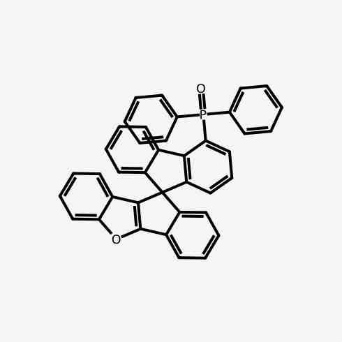 O=P(c1ccccc1)(c1ccccc1)c1cccc2c1-c1ccccc1C21c2ccccc2-c2oc3ccccc3c21